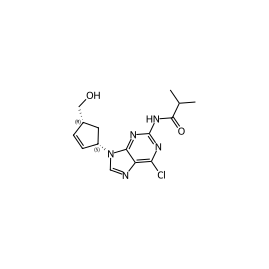 CC(C)C(=O)Nc1nc(Cl)c2ncn([C@@H]3C=C[C@H](CO)C3)c2n1